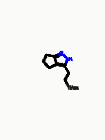 CCCCCCCCc1[nH]nc2c1CCC2